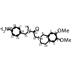 COc1cc2c(cc1OC)CN(CC(=O)N(C)Cc1ccc(N)cc1)CC2